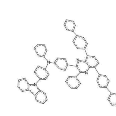 c1ccc(-c2ccc(-c3ccc(-c4ccc(-c5ccccc5)cc4)c4nc(-c5ccc(N(c6ccccc6)c6ccc(-n7c8ccccc8c8ccccc87)cc6)cc5)c(-c5ccccc5)nc34)cc2)cc1